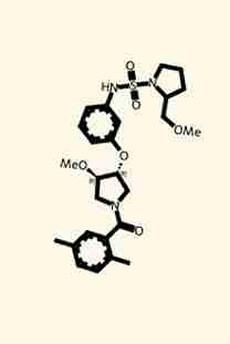 COCC1CCCN1S(=O)(=O)Nc1cccc(O[C@@H]2CN(C(=O)c3cc(C)ccc3C)C[C@H]2OC)c1